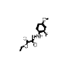 CCOC(=O)C(Cl)=NNc1ccc(OC)cc1F